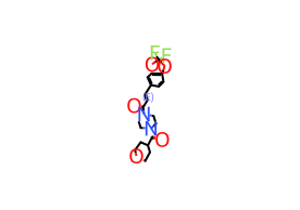 O=C(/C=C/c1ccc2c(c1)OC(F)(F)O2)N1CCN(C(=O)C2CCOCC2)CC1